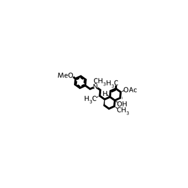 COc1ccc(CN(C)C[C@@H](C)[C@@H]2CC[C@@H](C)[C@]3(O)[C][C@@H](OC(C)=O)C(C)=C[C@H]23)cc1